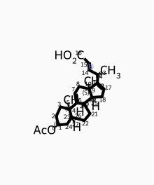 CC(=O)O[C@@H]1CC[C@]2(C)C3=CC[C@]4(C)C([C@H](C)/C=C/C(=O)O)=CC[C@H]4[C@@H]3CC[C@@H]2C1